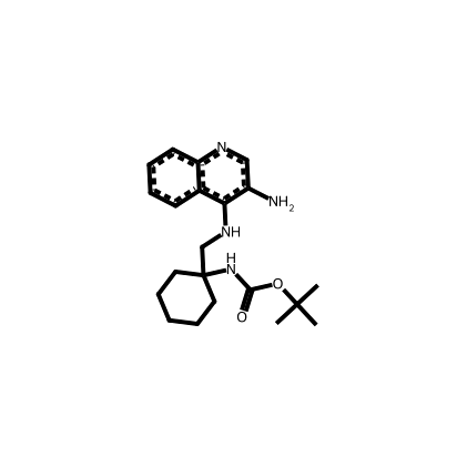 CC(C)(C)OC(=O)NC1(CNc2c(N)cnc3ccccc23)CCCCC1